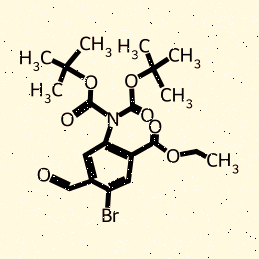 CCOC(=O)c1cc(Br)c(C=O)cc1N(C(=O)OC(C)(C)C)C(=O)OC(C)(C)C